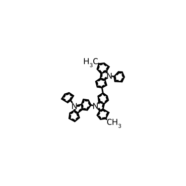 Cc1ccc2c(c1)c1ccc(-c3ccc4c5cc(C)ccc5n(-c5ccc6c(c5)c5ccccc5n6-c5ccccc5)c4c3)cc1n2-c1ccccc1